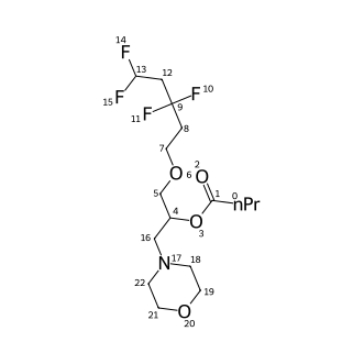 CCCC(=O)OC(COCCC(F)(F)CC(F)F)CN1CCOCC1